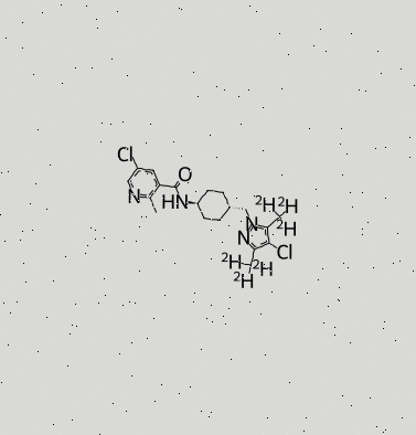 [2H]C([2H])([2H])c1nn(C[C@H]2CC[C@H](NC(=O)c3cc(Cl)cnc3C)CC2)c(C([2H])([2H])[2H])c1Cl